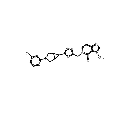 Cn1cnc2cnn(Cc3nc(C4C5CN(c6cc(Cl)ccn6)CC54)no3)c(=O)c21